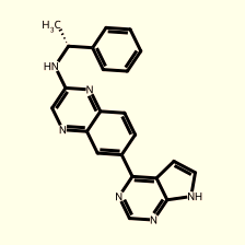 C[C@@H](Nc1cnc2cc(-c3ncnc4[nH]ccc34)ccc2n1)c1ccccc1